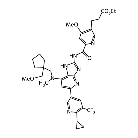 CCOC(=O)CCc1cnc(C(=O)Nc2nc3nc(-c4cnc(C5CC5)c(C(F)(F)F)c4)cc(N(C)CC4(COC)CCCC4)c3[nH]2)cc1OC